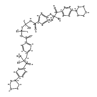 CCC(C)(CC(C)(CC)OC(=O)c1ccc(CC(N)(CC)C(=O)c2ccc(N3CCOCC3)cc2)cc1)OC(=O)c1ccc(CC(N)(CC)C(=O)c2ccc(N3CCOCC3)cc2)cc1